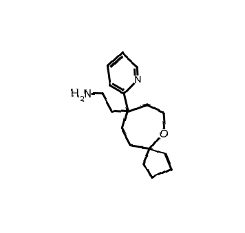 NCCC1(c2ccccn2)CCOC2(CCCC2)CC1